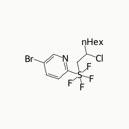 CCCCCCC(Cl)CS(F)(F)(F)(F)c1ccc(Br)cn1